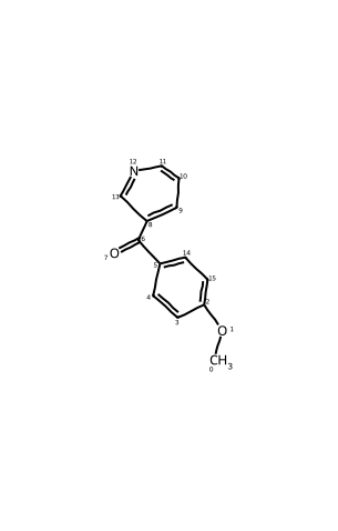 COc1ccc(C(=O)c2cccnc2)cc1